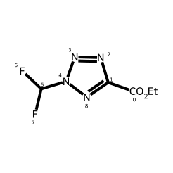 CCOC(=O)c1nnn(C(F)F)n1